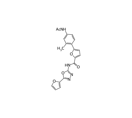 CC(=O)Nc1ccc(-c2ccc(C(=O)Nc3nnc(-c4ccco4)o3)o2)c(C)c1